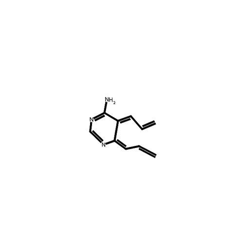 C=C/C=c1/ncnc(N)/c1=C/C=C